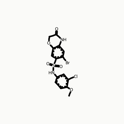 COc1ccc(NS(=O)(=O)c2cc3c(cc2Br)NC(=O)CO3)cc1Cl